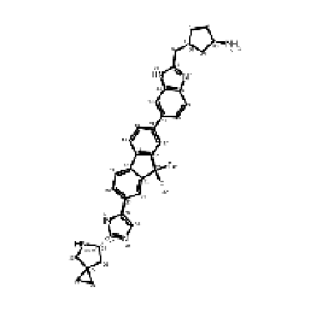 N[C@@H]1CC[C@H](Cc2nc3ccc(-c4ccc5c(c4)C(F)(F)c4cc(-c6cnc([C@@H]7CC8(CC8)CN7)[nH]6)ccc4-5)cc3[nH]2)C1